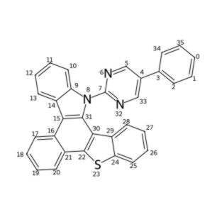 c1ccc(-c2cnc(-n3c4ccccc4c4c5ccccc5c5sc6ccccc6c5c43)nc2)cc1